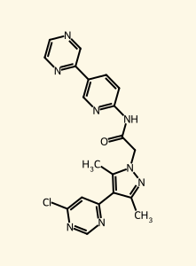 Cc1nn(CC(=O)Nc2ccc(-c3cnccn3)cn2)c(C)c1-c1cc(Cl)ncn1